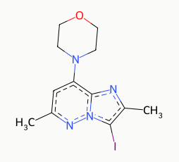 Cc1cc(N2CCOCC2)c2nc(C)c(I)n2n1